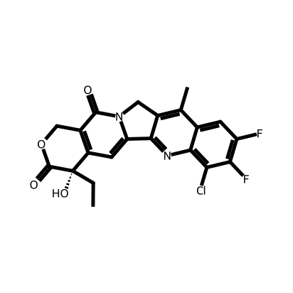 CC[C@@]1(O)C(=O)OCc2c1cc1n(c2=O)Cc2c-1nc1c(Cl)c(F)c(F)cc1c2C